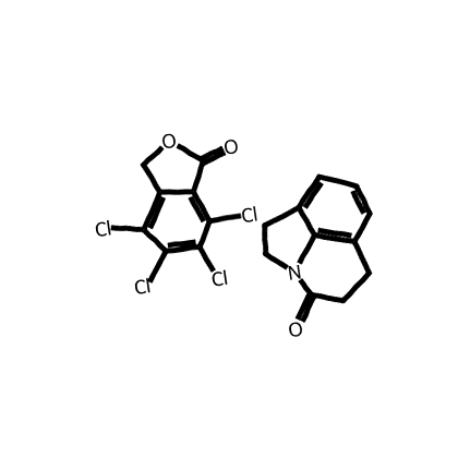 O=C1CCc2cccc3c2N1CC3.O=C1OCc2c(Cl)c(Cl)c(Cl)c(Cl)c21